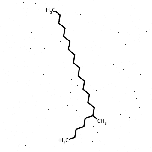 [CH2]CCCCCCCCCCCCCCCC(C)CCCC[CH2]